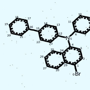 Brc1ccc(N(c2ccccc2)c2ccc(-c3ccccc3)cc2)c2ccccc12